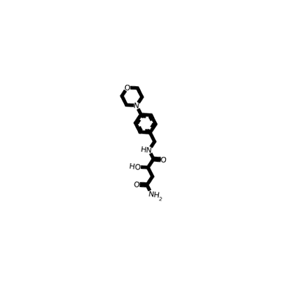 NC(=O)CC(O)C(=O)NCc1ccc(N2CCOCC2)cc1